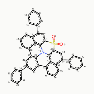 O=S1(=O)c2cc(-c3ccccc3)c3cccc4c3c2N2c3c-4cc(-c4ccccc4)cc3-c3cccc4c(-c5ccccc5)cc1c2c34